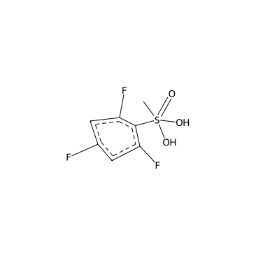 CS(=O)(O)(O)c1c(F)cc(F)cc1F